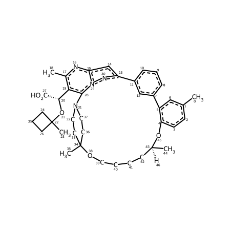 Cc1ccc2c(c1)-c1cccc(c1)-c1cc3nc(C)c([C@H](OC4(C)CCC4)C(=O)O)c(n3n1)N1CCC(C)(CC1)OCCCC[C@H](C)O2